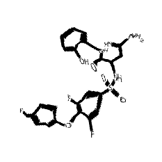 N=C(N)CC(NS(=O)(=O)c1cc(F)c(Oc2ccc(F)cc2)c(F)c1)C(=O)Nc1ccccc1O